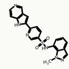 Cn1ncc2cccc(NS(=O)(=O)c3ccc(-c4cc5cnccc5[nH]4)nc3)c21